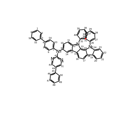 c1ccc(-c2ccc(N(c3ccc4c(c3)c3ccc5c6ccccc6n(-c6ccccc6)c5c3n4-c3ccccc3)c3ncc(-c4ccccc4)cn3)cc2)cc1